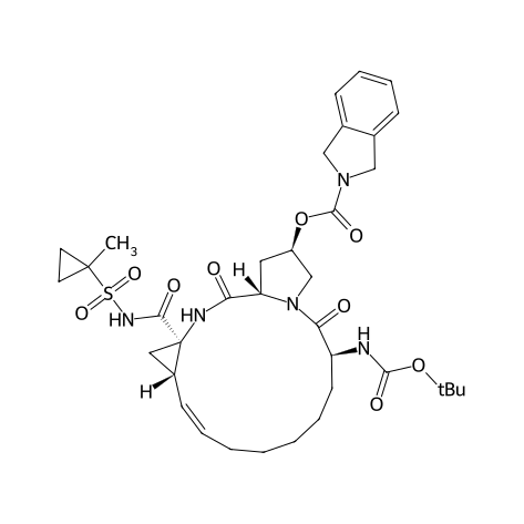 CC(C)(C)OC(=O)N[C@H]1CCCCC/C=C\[C@@H]2C[C@@]2(C(=O)NS(=O)(=O)C2(C)CC2)NC(=O)[C@@H]2C[C@@H](OC(=O)N3Cc4ccccc4C3)CN2C1=O